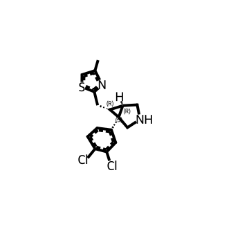 Cc1csc(C[C@@H]2[C@H]3CNC[C@]32c2ccc(Cl)c(Cl)c2)n1